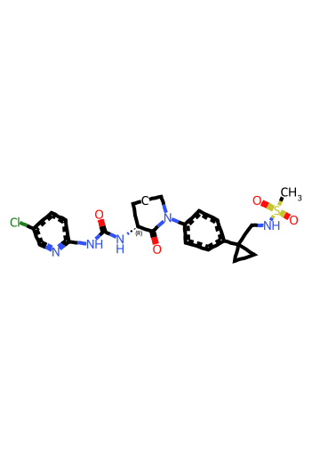 CS(=O)(=O)NCC1(c2ccc(N3CCC[C@@H](NC(=O)Nc4ccc(Cl)cn4)C3=O)cc2)CC1